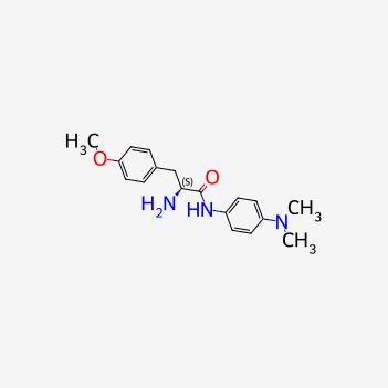 COc1ccc(C[C@H](N)C(=O)Nc2ccc(N(C)C)cc2)cc1